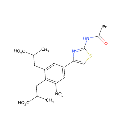 CC(C)C(=O)Nc1nc(-c2cc(CC(C)C(=O)O)c(CC(C)C(=O)O)c([N+](=O)[O-])c2)cs1